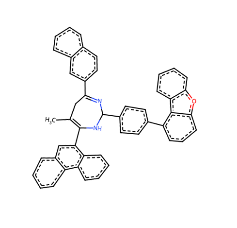 CC1=C(c2cc3ccccc3c3ccccc23)NC(c2ccc(-c3cccc4oc5ccccc5c34)cc2)N=C(c2ccc3ccccc3c2)C1